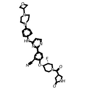 N#Cc1cc(-c2nccc(Nc3ccc(N4CCN(C5COC5)CC4)cc3)n2)ccc1O[C@H]1CCN(C(=O)C2CNC(=O)C2)C[C@H]1F